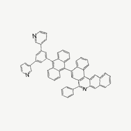 c1ccc(-c2nc3cc4ccccc4cc3c3c2cc(-c2c4ccccc4c(-c4cc(-c5cccnc5)cc(-c5cccnc5)c4)c4ccccc24)c2ccccc23)cc1